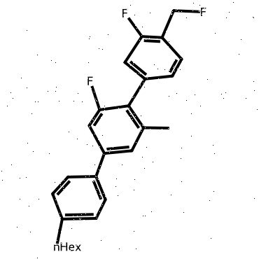 CCCCCCc1ccc(-c2cc(C)c(-c3ccc(CF)c(F)c3)c(F)c2)cc1